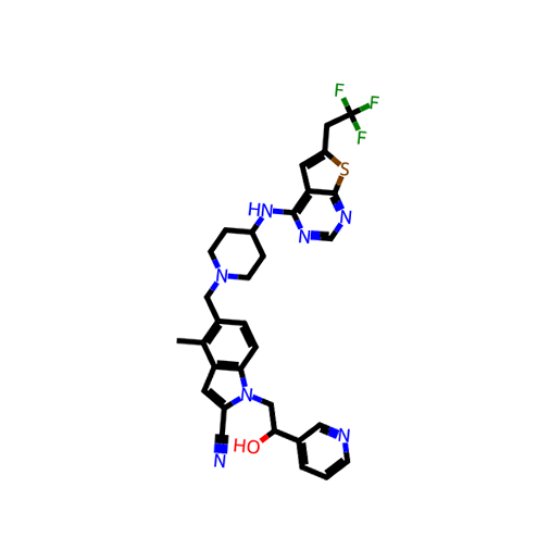 Cc1c(CN2CCC(Nc3ncnc4sc(CC(F)(F)F)cc34)CC2)ccc2c1cc(C#N)n2CC(O)c1cccnc1